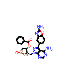 Nc1nc2cc(-c3nn(C[C@H]4S[S+]([O-])CC4OC(=O)c4ccccc4)c4ncnc(N)c34)ccc2o1